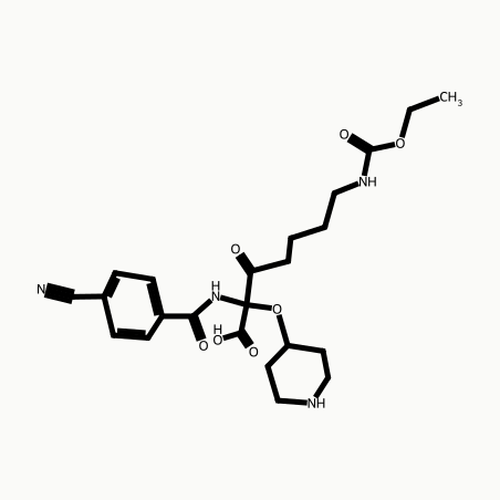 CCOC(=O)NCCCCC(=O)C(NC(=O)c1ccc(C#N)cc1)(OC1CCNCC1)C(=O)O